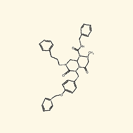 CN1CC(=O)N2C(Cc3ccc(OCc4ccccc4)cc3)C(=O)N(CCCc3ccccc3)CC2N1C(=O)NCc1ccccc1